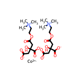 C[N+](C)(C)CCOC(=O)CC(O)(CC(=O)[O-])C(=O)[O-].C[N+](C)(C)CCOC(=O)CC(O)(CC(=O)[O-])C(=O)[O-].[Co+2]